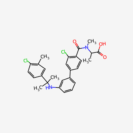 Cc1cc(C(C)(C)Nc2cccc(-c3ccc(C(=O)N(C)C(C)C(=O)O)c(Cl)c3)c2)ccc1Cl